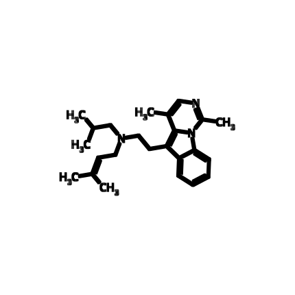 CC(C)=CCN(CCc1c2ccccc2n2c(C)ncc(C)c12)CC(C)C